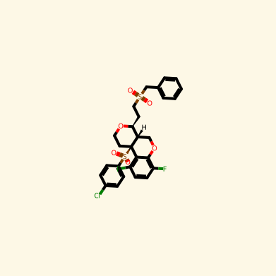 O=S(=O)(CC[C@@H]1OCC[C@@]2(S(=O)(=O)c3ccc(Cl)cc3)c3c(F)ccc(F)c3OC[C@@H]12)Cc1ccccc1